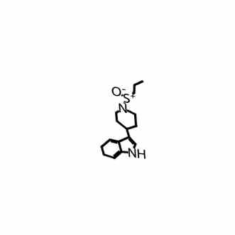 CCC[S+]([O-])N1CCC(c2c[nH]c3c2=CCCC=3)CC1